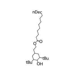 CCCCCCCCCCCCCCCCCCC(=O)OCCC1CC(C(C)(C)C)C(O)C(C(C)(C)C)C1